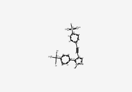 Cn1ncc(C#Cc2ccc(S(C)(=O)=O)cc2)c1-c1ccc(C(F)(F)F)cc1